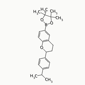 CC(C)c1ccc(C2CCc3cc(B4OC(C)(C)C(C)(C)O4)ccc3O2)cc1